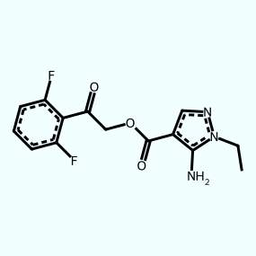 CCn1ncc(C(=O)OCC(=O)c2c(F)cccc2F)c1N